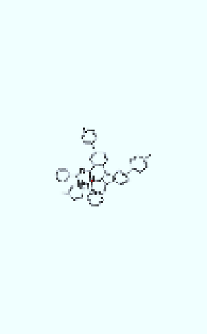 Cc1ccc(-c2ccc3c4ccc(-c5ccc(C)cc5)cc4n(-c4ccc(-c5ccncc5)cc4-c4nc(-c5ccccc5)nc(-c5ccccc5)n4)c3c2)cc1